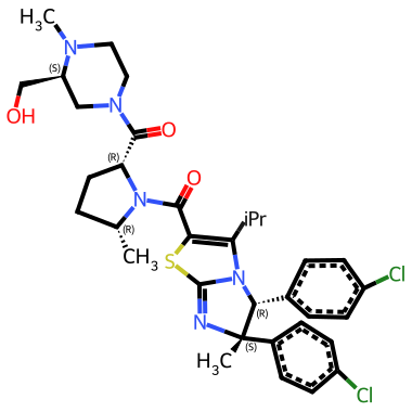 CC(C)C1=C(C(=O)N2[C@H](C)CC[C@@H]2C(=O)N2CCN(C)[C@H](CO)C2)SC2=N[C@@](C)(c3ccc(Cl)cc3)[C@@H](c3ccc(Cl)cc3)N21